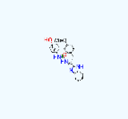 COc1ccc(C[C@@H](NC(=O)NC23CCC(O)(CC2)CC3)c2nc3ccccc3[nH]2)c(F)c1